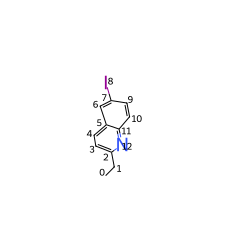 CCc1ccc2cc(I)ccc2n1